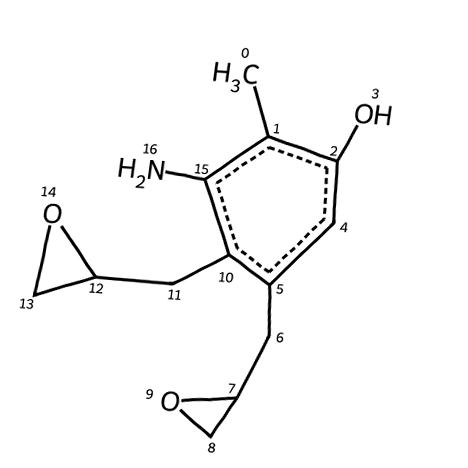 Cc1c(O)cc(CC2CO2)c(CC2CO2)c1N